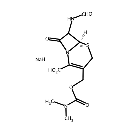 CN(C)C(=O)OCC1=C(C(=O)O)N2C(=O)C(NC=O)[C@H]2SC1.[NaH]